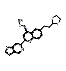 CC(C)(C)O/N=c1\cc(-c2cc3sccc3cn2)oc2ccc(CCC3OCCO3)cc12